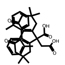 Cc1ccccc1C1=C(C(CC(=O)O)(C(=O)O)C2=C(c3ccccc3C)C(=O)CC(C)(C)C2)CC(C)(C)CC1=O